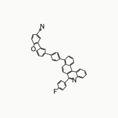 N#Cc1ccc2oc3ccc(-c4ccc(-c5cccc6c5ccc5c(-c7ccc(F)cc7)nc7ccccc7c56)cc4)cc3c2c1